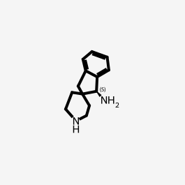 N[C@@H]1c2ccccc2CC12CCNCC2